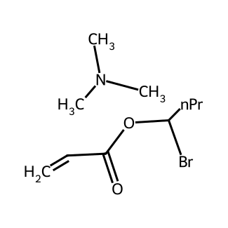 C=CC(=O)OC(Br)CCC.CN(C)C